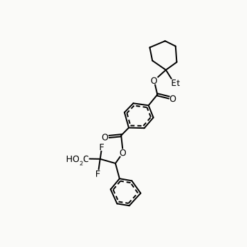 CCC1(OC(=O)c2ccc(C(=O)OC(c3ccccc3)C(F)(F)C(=O)O)cc2)CCCCC1